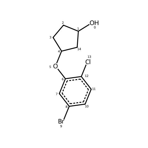 OC1CCC(Oc2cc(Br)ccc2Cl)C1